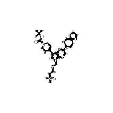 CC(C)(C)OC(=O)N1CCC(c2cn(COCC[Si](C)(C)C)c3ncc(C4CCC5(CC4)OCCO5)nc23)CC1